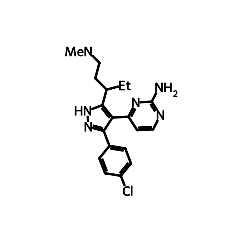 CCC(CCNC)c1[nH]nc(-c2ccc(Cl)cc2)c1-c1ccnc(N)n1